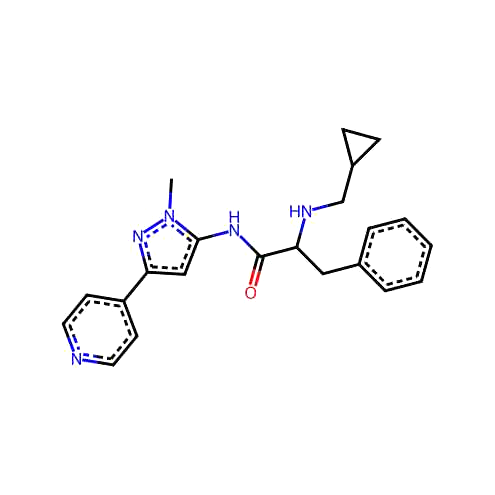 Cn1nc(-c2ccncc2)cc1NC(=O)C(Cc1ccccc1)NCC1CC1